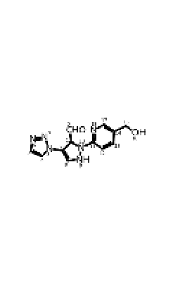 O=CC1C(n2ccnn2)=CNN1c1ccc(CO)cn1